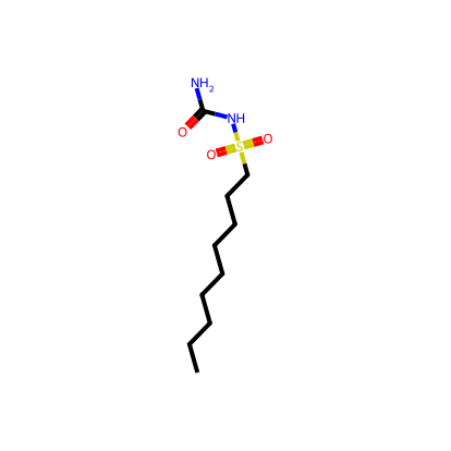 CCCCCCCCCS(=O)(=O)NC(N)=O